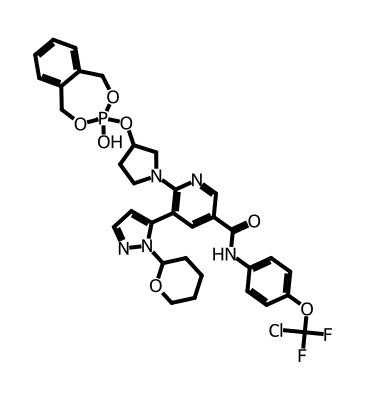 O=C(Nc1ccc(OC(F)(F)Cl)cc1)c1cnc(N2CCC(O[P]3(O)OCc4ccccc4CO3)C2)c(-c2ccnn2C2CCCCO2)c1